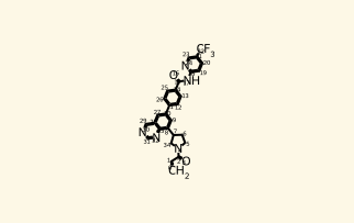 C=CC(=O)N1CCC(c2cc(-c3ccc(C(=O)Nc4ccc(C(F)(F)F)cn4)cc3)cc3cncnc23)C1